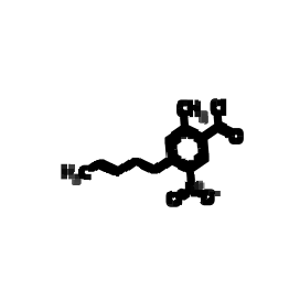 CC=CCCc1cc(C)c(C(=O)Cl)cc1[N+](=O)[O-]